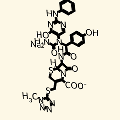 Cn1nnnc1SCC1=C(C(=O)[O-])N2C(=O)C(NC(=O)C(c3ccc(O)cc3)N(C(N)=O)c3cnc(Nc4ccccc4)nc3O)[C@@H]2SC1.[Na+]